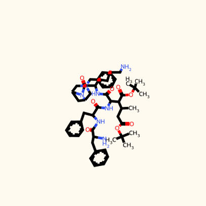 CC(CC(=O)OC(C)(C)C)C(C(=O)OC(C)(C)C)C(NC(=O)C(Cc1ccccc1)NC(=O)C(N)Cc1ccccc1)C(=O)NC(CCCCN)C(=O)N1C2CC1CN(Cc1ccccc1)C2